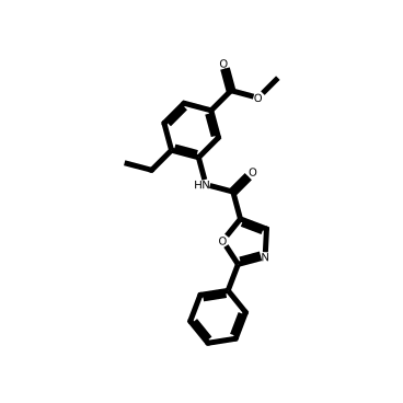 CCc1ccc(C(=O)OC)cc1NC(=O)c1cnc(-c2ccccc2)o1